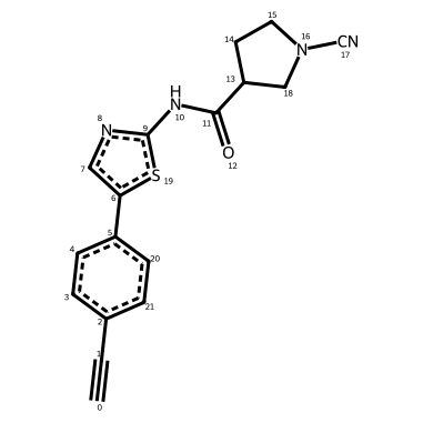 C#Cc1ccc(-c2cnc(NC(=O)C3CCN(C#N)C3)s2)cc1